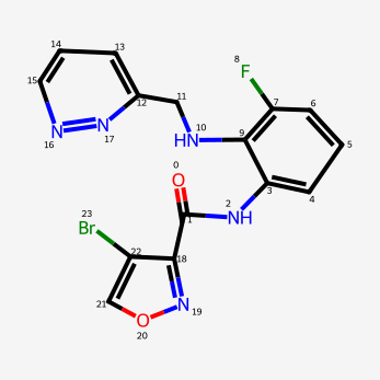 O=C(Nc1cccc(F)c1NCc1cccnn1)c1nocc1Br